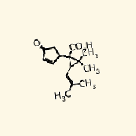 CC(C)=C[C@@H]1C(C)(C)[C@@]1(C(=O)O)C1C=CC(=O)C1